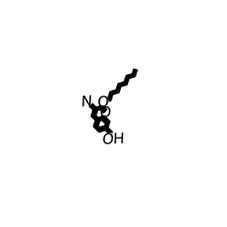 CCCCCCCCOC(=O)C(C#N)=Cc1ccc(CO)cc1